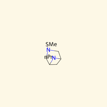 CCCN1C2CC1CN(SC)C2